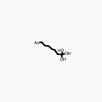 CC(=O)CCCCCCC(O)(O)O